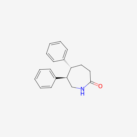 O=C1CC[C@@H](c2ccccc2)[C@H](c2ccccc2)CN1